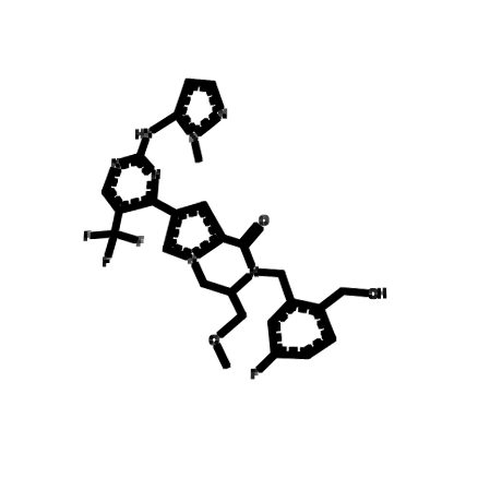 COCC1Cn2cc(-c3nc(Nc4ccnn4C)ncc3C(F)(F)F)cc2C(=O)N1Cc1cc(F)ccc1CO